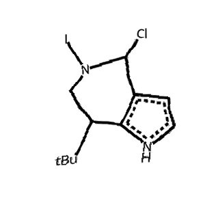 CC(C)(C)C1CN(I)C(Cl)c2cc[nH]c21